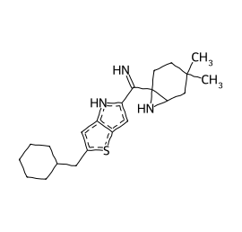 CC1(C)CCC2(C(=N)c3cc4sc(CC5CCCCC5)cc4[nH]3)NC2C1